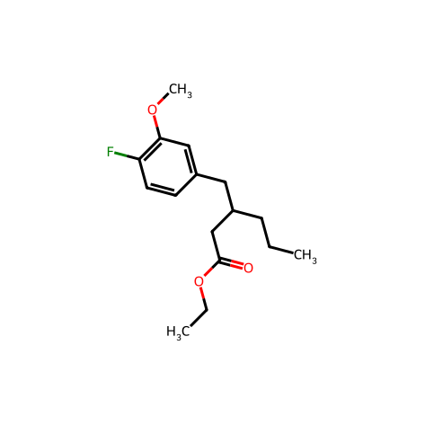 CCCC(CC(=O)OCC)Cc1ccc(F)c(OC)c1